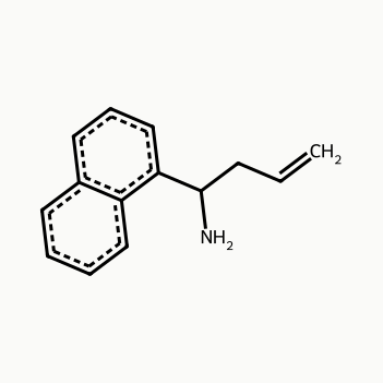 C=CCC(N)c1cccc2ccccc12